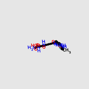 Cc1ccc(F)c(NC(=O)Nc2ccc(-c3cccc4c3c(N)nn4C(=O)CCCCCCCCCCCNC(=O)CCCCC(=O)N[C@@H](CCC(N)=O)C(=O)O)cc2)c1